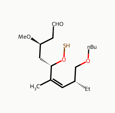 CCCCOC[C@@H](/C=C(/C)[C@H](C[C@H](CC=O)OC)OS)CC